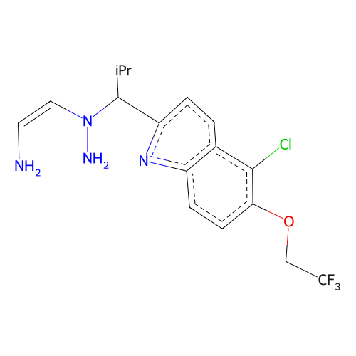 CC(C)C(c1ccc2c(Cl)c(OCC(F)(F)F)ccc2n1)N(N)/C=C\N